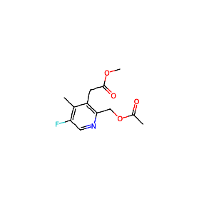 COC(=O)Cc1c(COC(C)=O)ncc(F)c1C